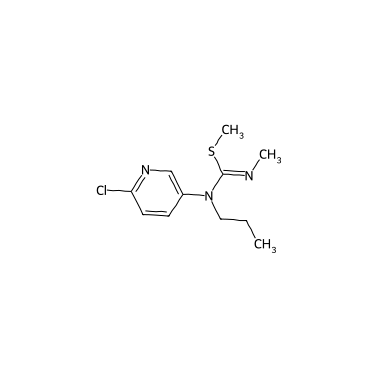 CCCN(C(=NC)SC)c1ccc(Cl)nc1